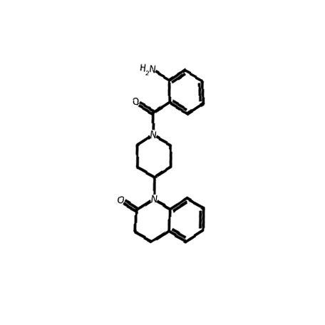 Nc1ccccc1C(=O)N1CCC(N2C(=O)CCc3ccccc32)CC1